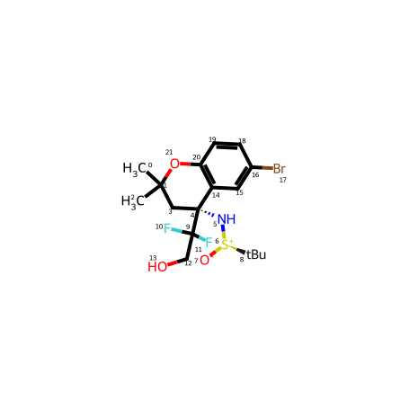 CC1(C)C[C@](N[S@+]([O-])C(C)(C)C)(C(F)(F)CO)c2cc(Br)ccc2O1